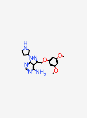 COc1cc(OC)cc(OCc2nn([C@H]3CCNC3)c3ncnc(N)c23)c1